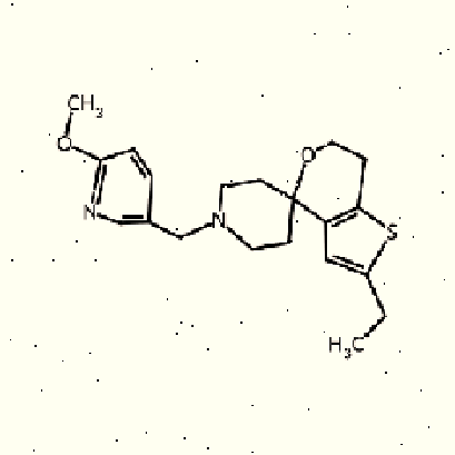 CCc1cc2c(s1)CCOC21CCN(Cc2ccc(OC)nc2)CC1